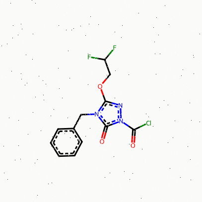 O=C(Cl)n1nc(OCC(F)F)n(Cc2ccccc2)c1=O